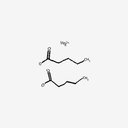 CCCCC(=O)[O-].CCCCC(=O)[O-].[Hg+2]